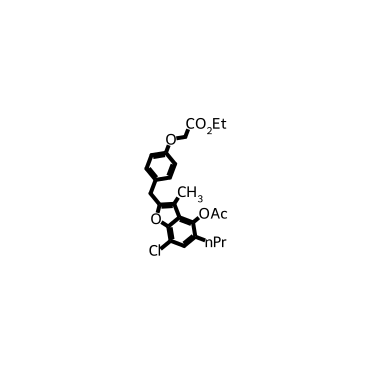 CCCc1cc(Cl)c2oc(Cc3ccc(OCC(=O)OCC)cc3)c(C)c2c1OC(C)=O